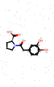 O=C(O)[C@@H]1CCCN1C(=O)Cc1ccc(O)c(O)c1